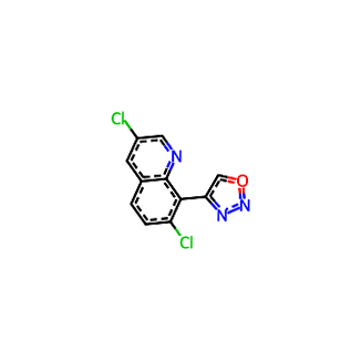 Clc1cnc2c(-c3conn3)c(Cl)ccc2c1